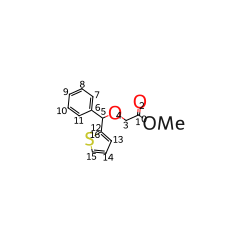 COC(=O)COC(c1ccccc1)c1cccs1